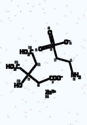 NCCS(=O)(=O)[O-].O=C([O-])CC(O)(CC(=O)O)C(=O)O.[Zn+2]